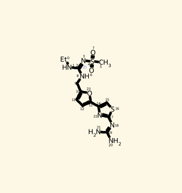 CCN/C(=N/S(C)(=O)=O)NCc1ccc(-c2csc(N=C(N)N)n2)o1